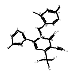 Cc1cccc(-c2cc(C(F)(F)F)c(C#N)c(=O)n2Cc2ccc(C)cc2C)c1